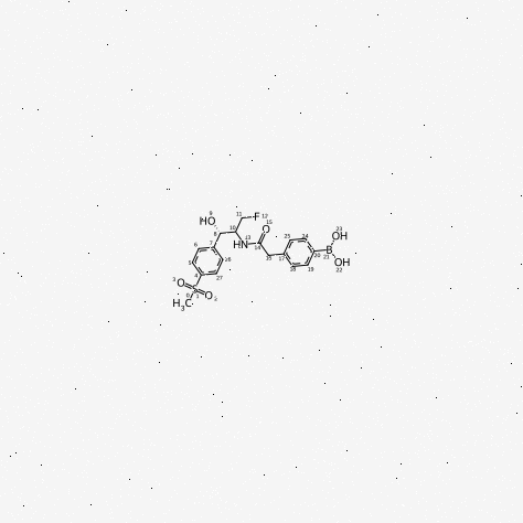 CS(=O)(=O)c1ccc([C@H](O)C(CF)NC(=O)Cc2ccc(B(O)O)cc2)cc1